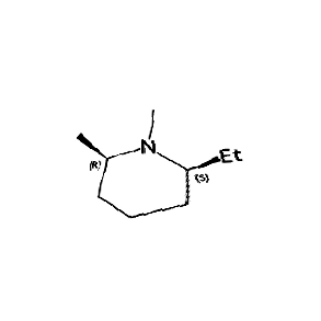 CC[C@H]1CCC[C@@H](C)N1C